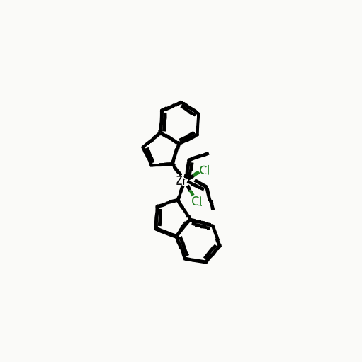 C[CH]=[Zr]([Cl])([Cl])(=[CH]C)([CH]1C=Cc2ccccc21)[CH]1C=Cc2ccccc21